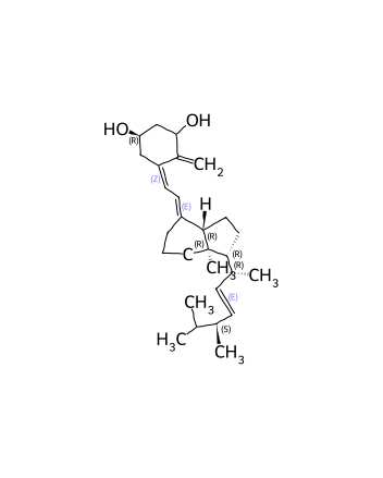 C=C1/C(=C\C=C2/CCC[C@]3(C)[C@@H]([C@H](C)/C=C/[C@@H](C)C(C)C)CC[C@@H]23)C[C@@H](O)CC1O